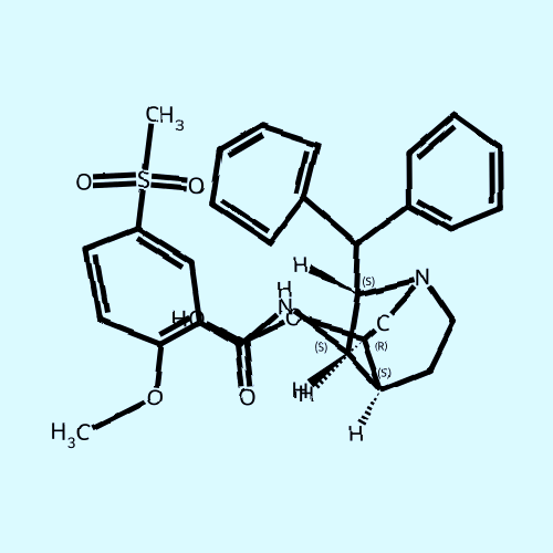 COc1ccc(S(C)(=O)=O)cc1CN[C@H]1[C@@H]2CCN(C[C@@H]2OC(=O)O)[C@H]1C(c1ccccc1)c1ccccc1